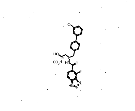 O=C(NN(Cc1ccc(-c2cccc(Cl)c2)cc1)C[C@@H](O)C(=O)O)c1ccc2[nH]nnc2c1F